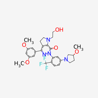 COc1cc(OC)cc(-c2nn(-c3cc(N4CC[C@H](OC)C4)ccc3C(F)(F)F)c(=O)c3c2CCN3CCO)c1